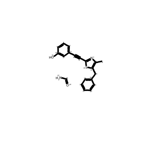 Cc1nc(C#Cc2cccc(O)c2)sc1Cc1ccccc1.NC=O